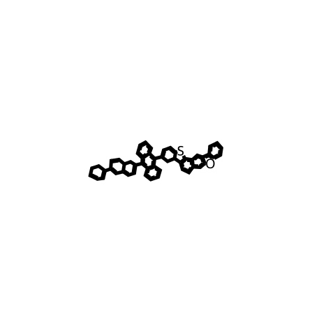 C1=CCCC(C2=CC3=CC=C(c4c5ccccc5c(C5=CC=C6Sc7c(ccc8cc9oc%10ccccc%10c9cc78)C6C5)c5ccccc45)CC3C=C2)=C1